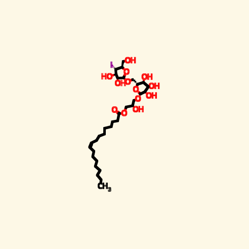 CCCCCCCC/C=C\CCCCCCCC(=O)OC[C@H](O)CO[C@@H]1O[C@H](CO[C@@H]2O[C@H](CO)[C@@H](I)[C@H](O)[C@H]2O)[C@@H](O)[C@H](O)[C@H]1O